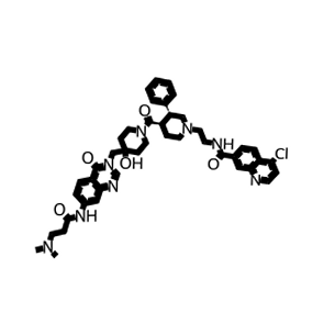 CN(C)CCC(=O)Nc1ccc2c(=O)n(CC3(O)CCN(C(=O)[C@@H]4CCN(CCNC(=O)c5ccc6c(Cl)ccnc6c5)C[C@H]4c4ccccc4)CC3)cnc2c1